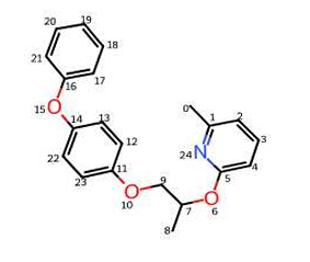 Cc1cccc(OC(C)COc2ccc(Oc3ccccc3)cc2)n1